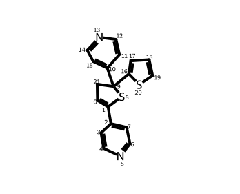 C1=C(c2ccncc2)SC(c2ccncc2)(c2cccs2)C1